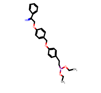 CCOP(CCc1ccc(OCc2ccc(OCC(=N)c3ccccc3)cc2)cc1)OCC